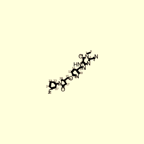 CCn1c(C#N)nc2nc(-c3ccc(OCC4CC(=O)N(c5cccc(F)c5)C4)nc3)[nH]c2c1=O